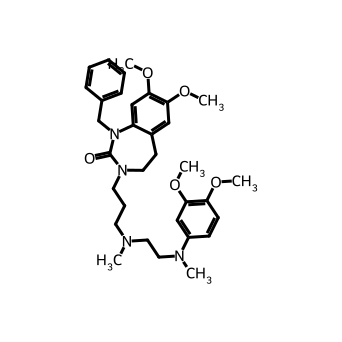 COc1ccc(N(C)CCN(C)CCCN2CCc3cc(OC)c(OC)cc3N(Cc3ccccc3)C2=O)cc1OC